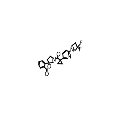 O=C1OC2(CCN(C(=O)C3(c4ccc(N5CCC(F)(F)C5)nc4)CC3)C2)c2ccccc21